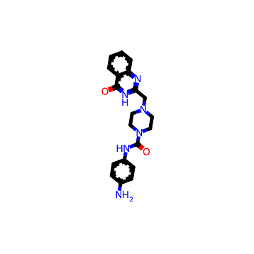 Nc1ccc(NC(=O)N2CCN(Cc3nc4ccccc4c(=O)[nH]3)CC2)cc1